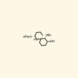 CCCCC[C@@H]1CCC[C@]2(CCC[C@H](O)[C@H]2CCCC)N1